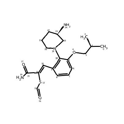 CC(C)COc1cccc(/C=C(\SC=O)C(N)=O)c1N1CCC[C@@H](N)C1